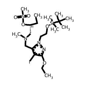 CCOc1nn(CCO[Si](C)(C)C(C)(C)C)c(CN(C)C[C@@H](CC)OS(C)(=O)=O)c1I